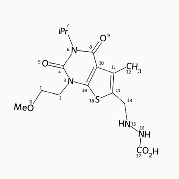 COCCn1c(=O)n(C(C)C)c(=O)c2c(C)c(CNNC(=O)O)sc21